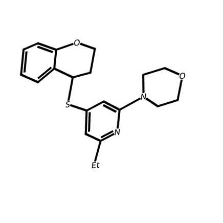 CCc1cc(SC2CCOc3ccccc32)cc(N2CCOCC2)n1